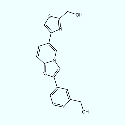 OCc1cccc(-c2cn3cc(-c4csc(CO)n4)ccc3n2)c1